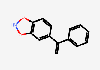 C=C(c1ccccc1)c1ccc2c(c1)ONO2